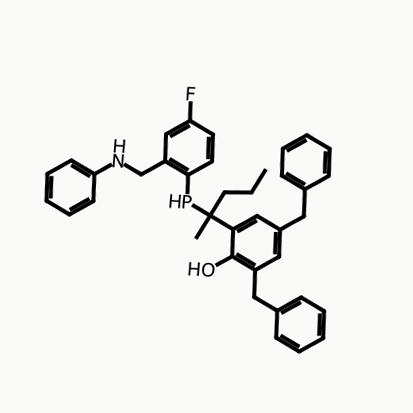 CCCC(C)(Pc1ccc(F)cc1CNc1ccccc1)c1cc(Cc2ccccc2)cc(Cc2ccccc2)c1O